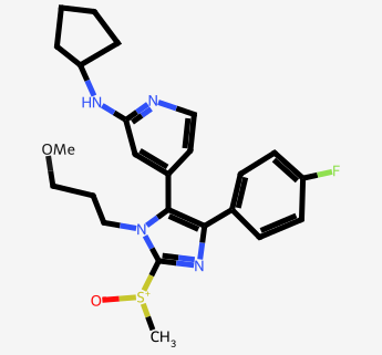 COCCCn1c([S+](C)[O-])nc(-c2ccc(F)cc2)c1-c1ccnc(NC2CCCC2)c1